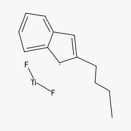 CCCCC1=Cc2ccccc2[CH]1.[F][Ti][F]